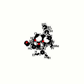 CCNCCOc1cc(NC(=O)NC(=O)C[C@@H]2NC(=O)[C@H](NC(=O)[C@@H](CC(C)C)NC)[C@H](O)c3ccc(c(C)c3)Oc3cc4cc(c3O[C@@H]3O[C@H](CO)[C@@H](O)[C@H](O)[C@H]3O[C@H]3C[C@](C)(N)[C@H](O)[C@H](C)O3)Oc3ccc(cc3Cl)[C@@H](O)[C@@H]3NC(=O)[C@H](NC(=O)[C@@H]4NC2=O)c2ccc(O)c(c2)-c2c(O)cc(O)cc2[C@@H](C(=O)NC2C4CC5CC(C4)CC2C5)NC3=O)cc(OCCNCC)c1